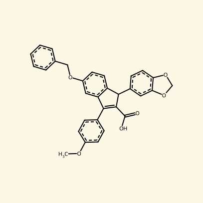 COc1ccc(C2=C(C(=O)O)C(c3ccc4c(c3)OCO4)c3ccc(OCc4ccccc4)cc32)cc1